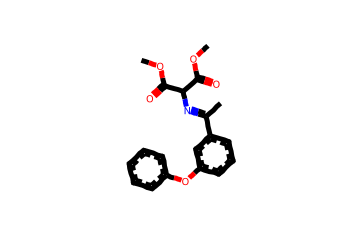 COC(=O)C(N=C(C)c1cccc(Oc2ccccc2)c1)C(=O)OC